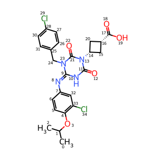 CC(C)Oc1ccc(/N=c2\[nH]c(=O)n([C@H]3C[C@@H](C(=O)O)C3)c(=O)n2Cc2ccc(Cl)cc2)cc1Cl